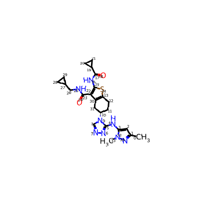 Cc1cc(Nc2nncn2[C@H]2CCc3sc(NC(=O)C4CC4)c(C(=O)NCC4CC4)c3C2)n(C)n1